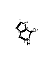 O=c1[nH]ccc2ccsc12